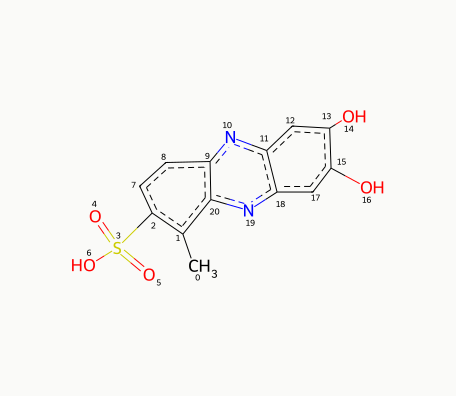 Cc1c(S(=O)(=O)O)ccc2nc3cc(O)c(O)cc3nc12